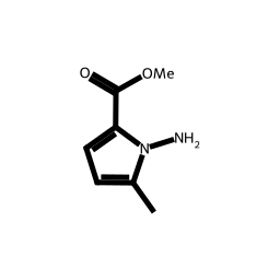 COC(=O)c1ccc(C)n1N